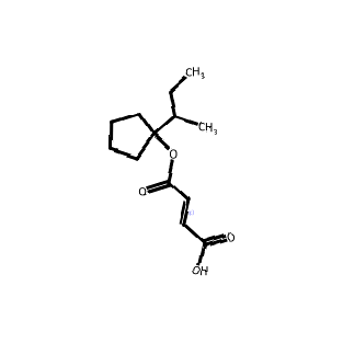 CCC(C)C1(OC(=O)/C=C/C(=O)O)CCCC1